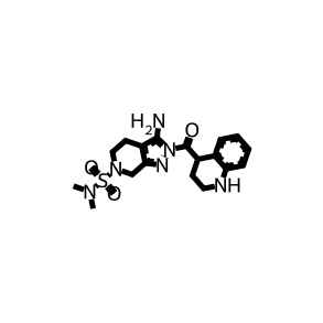 CN(C)S(=O)(=O)N1CCc2c(nn(C(=O)C3CCNc4ccccc43)c2N)C1